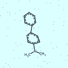 [CH3][Al]([CH3])[c]1ccc(-c2cc[c]cc2)cc1